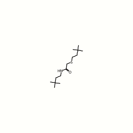 CC(C)(C)CCNC(=O)CSCCC(C)(C)C